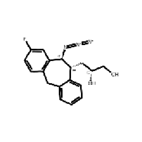 [N-]=[N+]=N[C@@H]1c2cc(F)ccc2Cc2ccccc2[C@H]1C[C@@H](O)CO